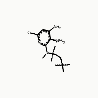 CN(c1nc(Cl)cc(N)c1N)C(C)(C)CC(C)(C)C